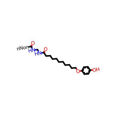 CCCCCCCCCC(=O)NCNC(=O)CCCCCCCCCCOc1ccc(O)cc1